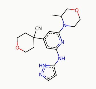 CC1COCCN1c1cc(C2(C#N)CCOCC2)cc(Nc2ccn[nH]2)n1